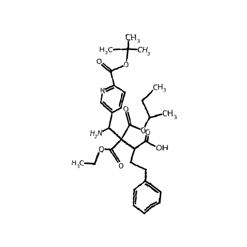 CCOC(=O)C(C(=O)OC(C)CC)(C(CCc1ccccc1)C(=O)O)C(N)c1ccc(C(=O)OC(C)(C)C)nc1